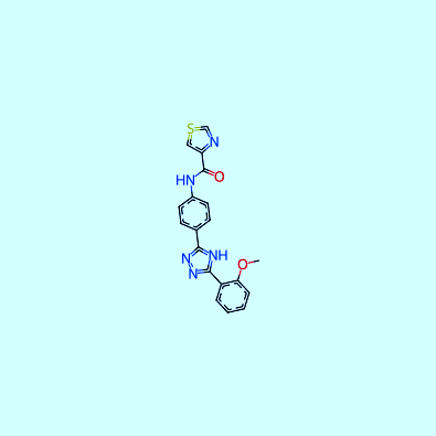 COc1ccccc1-c1nnc(-c2ccc(NC(=O)c3cscn3)cc2)[nH]1